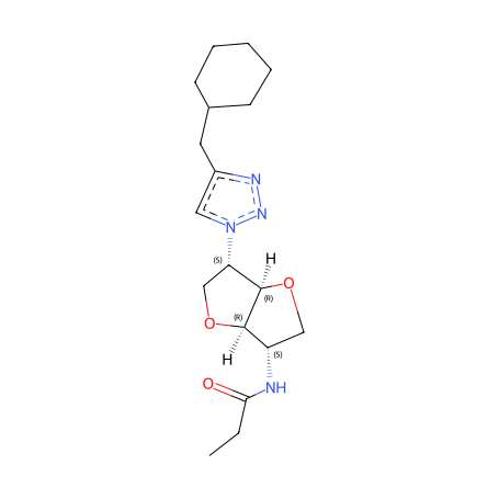 CCC(=O)N[C@H]1CO[C@H]2[C@@H]1OC[C@@H]2n1cc(CC2CCCCC2)nn1